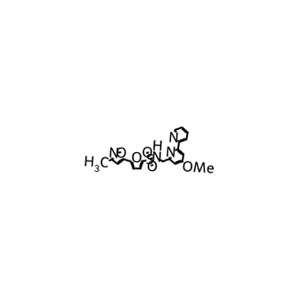 COc1cc(CNS(=O)(=O)c2ccc(-c3cc(C)no3)o2)nc(-c2ccccn2)c1